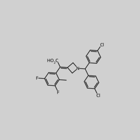 Cc1c(F)cc(F)cc1C(C(=O)O)=C1CN(C(c2ccc(Cl)cc2)c2ccc(Cl)cc2)C1